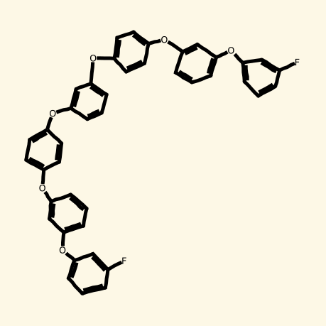 Fc1cccc(Oc2cccc(Oc3ccc(Oc4cccc(Oc5ccc(Oc6cccc(Oc7cccc(F)c7)c6)cc5)c4)cc3)c2)c1